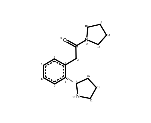 O=C(Cc1ccccc1[C@@H]1CCC[N]1)N1CCCC1